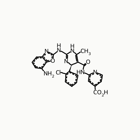 CC1=C(C(=O)Nc2cc(C(=O)O)ccn2)[C@@H](c2ccccc2Cl)N=C(Nc2nc3cccc(N)c3o2)N1